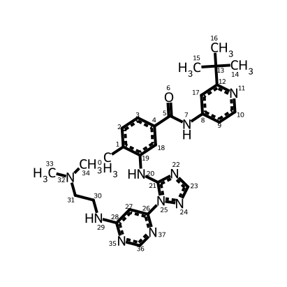 Cc1ccc(C(=O)Nc2ccnc(C(C)(C)C)c2)cc1Nc1ncnn1-c1cc(NCCN(C)C)ncn1